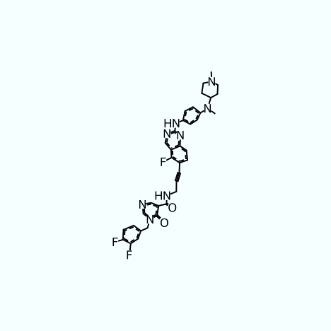 CN1CCC(N(C)c2ccc(Nc3ncc4c(F)c(C#CCNC(=O)c5cncn(Cc6ccc(F)c(F)c6)c5=O)ccc4n3)cc2)CC1